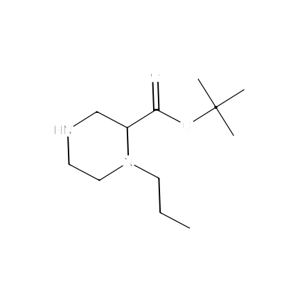 [CH2]CCN1CCNCC1C(=O)OC(C)(C)C